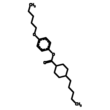 CCCCCOc1ccc(OC(=O)C2CCC(CCCCC)CC2)cc1